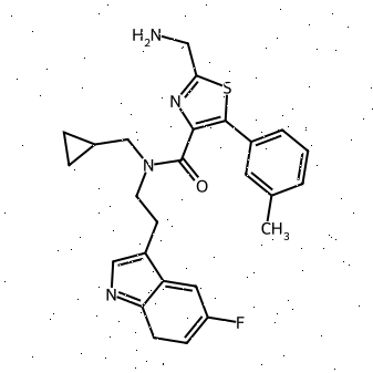 Cc1cccc(-c2sc(CN)nc2C(=O)N(CCC2=CN=C3CC=C(F)C=C23)CC2CC2)c1